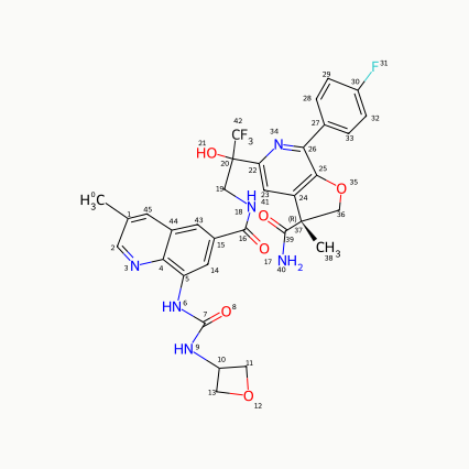 Cc1cnc2c(NC(=O)NC3COC3)cc(C(=O)NCC(O)(c3cc4c(c(-c5ccc(F)cc5)n3)OC[C@]4(C)C(N)=O)C(F)(F)F)cc2c1